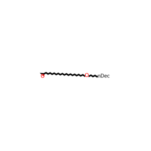 CCCCCCCCCCCCCCCOCCCCCCCCCCCCCCCCCCCCC1CO1